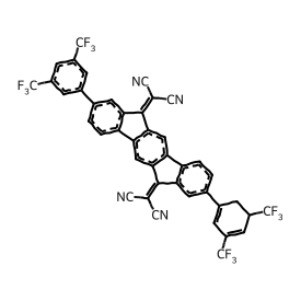 N#CC(C#N)=C1c2cc(C3=CC(C(F)(F)F)=CC(C(F)(F)F)C3)ccc2-c2cc3c(cc21)-c1ccc(-c2cc(C(F)(F)F)cc(C(F)(F)F)c2)cc1C3=C(C#N)C#N